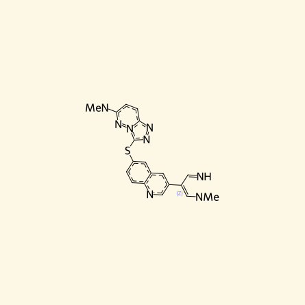 CN/C=C(\C=N)c1cnc2ccc(Sc3nnc4ccc(NC)nn34)cc2c1